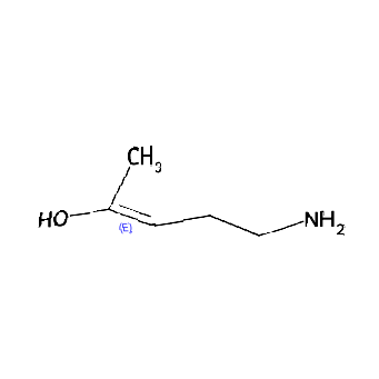 C/C(O)=C\CCN